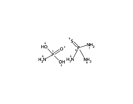 NP(=O)(O)O.NP(N)(N)=S